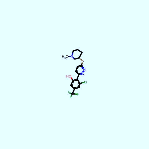 CN1CCC[C@@H](Sc2ccc(-c3c(O)cc(C(F)(F)F)cc3Cl)nn2)C1